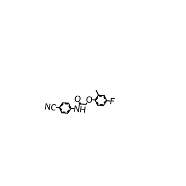 Cc1cc(F)ccc1OCC(=O)Nc1ccc(C#N)cc1